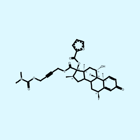 C[C@@H]1CC2C3C[C@H](F)C4=CC(=O)C=C[C@]4(C)[C@@]3(F)[C@@H](O)C[C@]2(C)[C@@]1(OC(=O)c1ccco1)C(=O)SCC#CCOC(=O)N(C)C